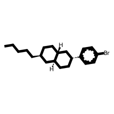 CCCCC[C@H]1CC[C@@H]2C[C@H](c3ccc(Br)cc3)CC[C@H]2C1